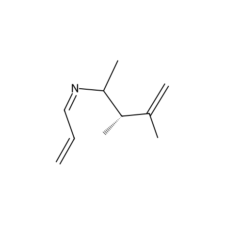 C=C/C=N\C(C)[C@@H](C)C(=C)C